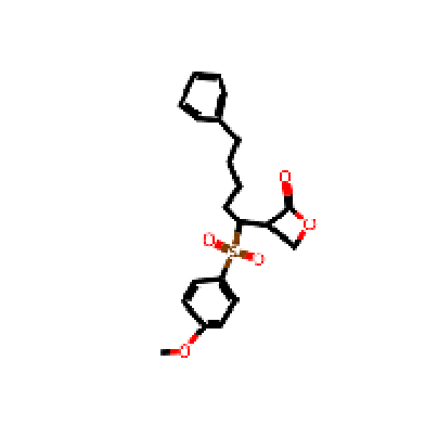 COc1ccc(S(=O)(=O)C(CCCCc2ccccc2)C2COC2=O)cc1